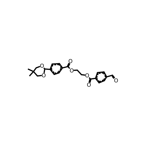 CC1(C)COC(c2ccc(C(=O)OCCOC(=O)c3ccc(C=O)cc3)cc2)OC1